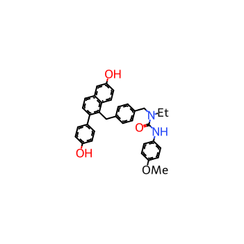 CCN(Cc1ccc(Cc2c(-c3ccc(O)cc3)ccc3cc(O)ccc23)cc1)C(=O)Nc1ccc(OC)cc1